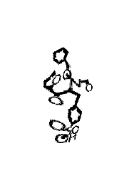 O=CN(OCc1ccccc1)C(Cc1ccc(S(=O)(=O)O)cc1)C(=O)c1ccco1